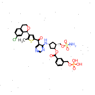 Cc1sc(C(=O)c2cncnc2N[C@@H]2C[C@H](COS(N)(=O)=O)[C@@H](OC(=O)c3cccc(COP(=O)(O)O)c3)C2)cc1[C@@H]1OCCc2ccc(Cl)cc21